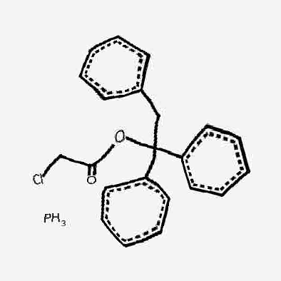 O=C(CCl)OC(Cc1ccccc1)(c1ccccc1)c1ccccc1.P